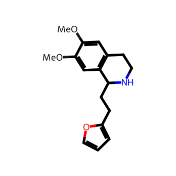 COc1cc2c(cc1OC)C(CCc1ccco1)NCC2